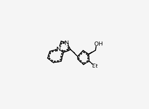 CCc1ccc(-c2ncn3ccccc23)cc1CO